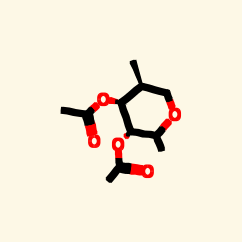 CC(=O)O[C@H]1[C@@H](C)COC(C)[C@@H]1OC(C)=O